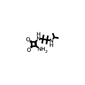 CC(C)NC(C)(C)C(C)(C)Nc1c(N)c(=O)c1=O